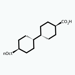 CCCCCCCC[C@H]1CC[C@H]([C@H]2CC[C@H](C(=O)O)CC2)CC1